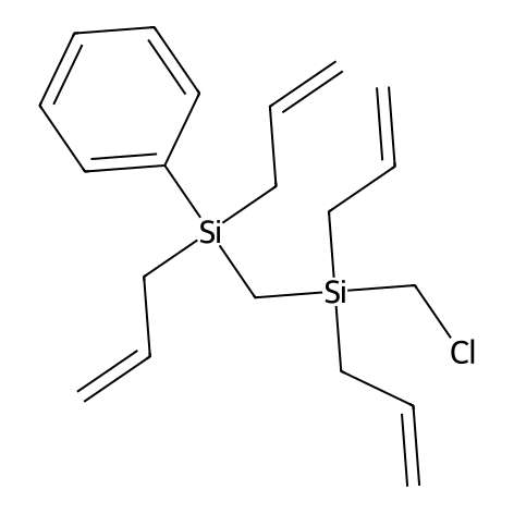 C=CC[Si](CCl)(CC=C)C[Si](CC=C)(CC=C)c1ccccc1